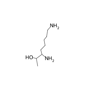 CC(O)C(N)CCCCCN